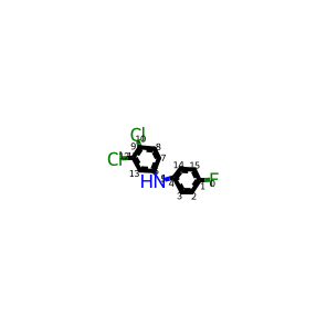 Fc1ccc(Nc2ccc(Cl)c(Cl)c2)cc1